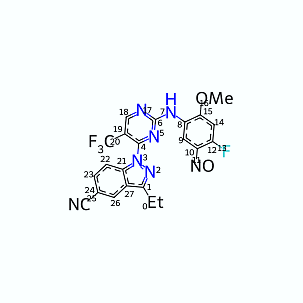 CCc1nn(-c2nc(Nc3cc(N=O)c(F)cc3OC)ncc2C(F)(F)F)c2ccc(C#N)cc12